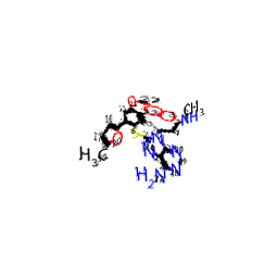 CNC(=O)CCn1c(Sc2cc3c(cc2-c2ccc(C)o2)OCO3)nc2c(N)ncnc21